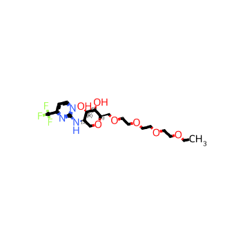 CCOCCOCCOCCOC[C@H]1OC[C@H](Nc2nccc(C(F)(F)F)n2)[C@@H](O)[C@H]1O